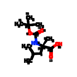 CC(C)C[C@@](C)(NC(=O)OC(C)(C)C)C(=O)O